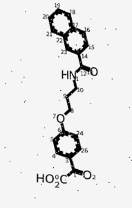 O=C(O)C(=O)c1ccc(OCCCNC(=O)c2ccc3ccccc3c2)cc1